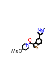 COC1CCN(C(=O)c2csc3ccc(-c4cnn(C)c4)cc23)CC1